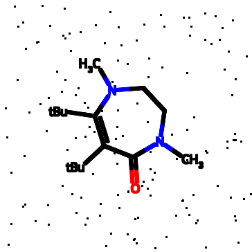 CN1CCN(C)C(C(C)(C)C)=C(C(C)(C)C)C1=O